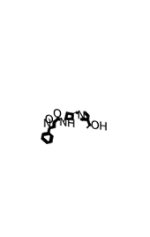 C[C@H](O)c1ccn(C[C@H]2C[C@@H](NC(=O)c3cc(-c4ccccc4)no3)C2)c1